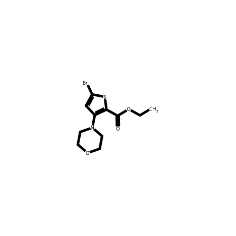 CCOC(=O)c1sc(Br)cc1N1CCOCC1